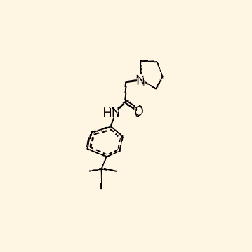 CC(C)(C)c1ccc(NC(=O)CN2CCCC2)cc1